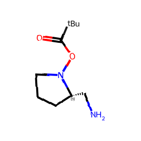 CC(C)(C)C(=O)ON1CCC[C@H]1CN